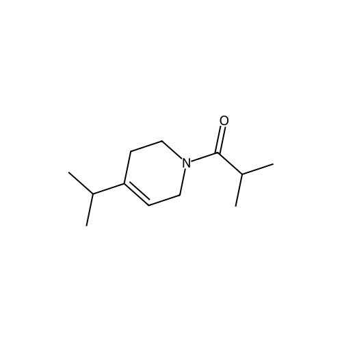 CC(C)C(=O)N1CC=C(C(C)C)CC1